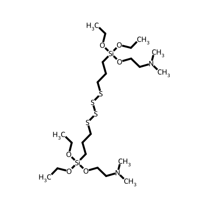 CCO[Si](CCCSSSSCCC[Si](OCC)(OCC)OCCN(C)C)(OCC)OCCN(C)C